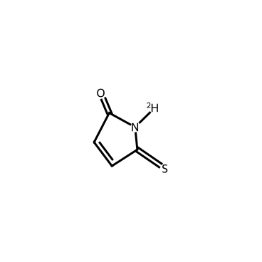 [2H]N1C(=O)C=CC1=S